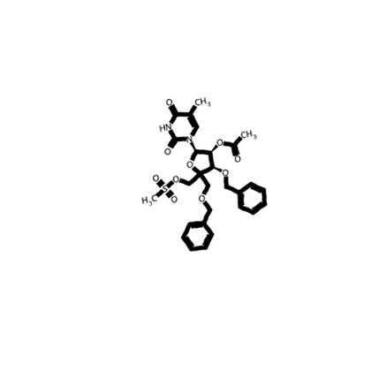 CC(=O)O[C@@H]1[C@H](n2cc(C)c(=O)[nH]c2=O)OC(COCc2ccccc2)(COS(C)(=O)=O)[C@@H]1OCc1ccccc1